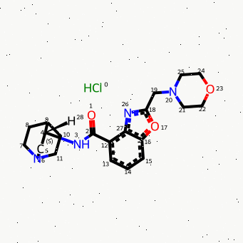 Cl.O=C(N[C@@H]1CN2CCC1CC2)c1cccc2oc(CN3CCOCC3)nc12